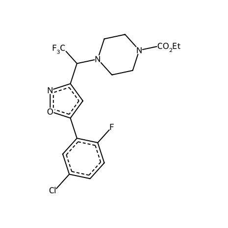 CCOC(=O)N1CCN(C(c2cc(-c3cc(Cl)ccc3F)on2)C(F)(F)F)CC1